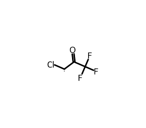 O=C([CH]Cl)C(F)(F)F